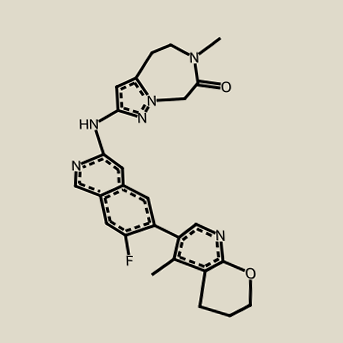 Cc1c(-c2cc3cc(Nc4cc5n(n4)CC(=O)N(C)CC5)ncc3cc2F)cnc2c1CCCO2